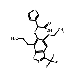 CCCc1cc2c(C(F)(F)F)noc2c(CCC)c1OC(C(=O)O)c1ccsc1